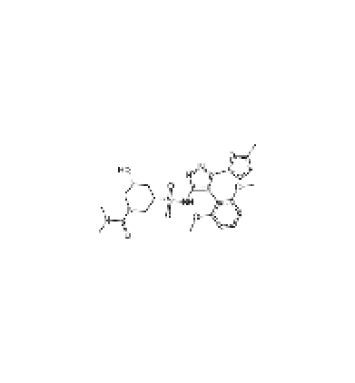 COc1cccc(OC)c1-n1c(NS(=O)(=O)[C@H]2C[C@@H](O)CN(C(=O)N(C)C)C2)nnc1-c1ccc(C)o1